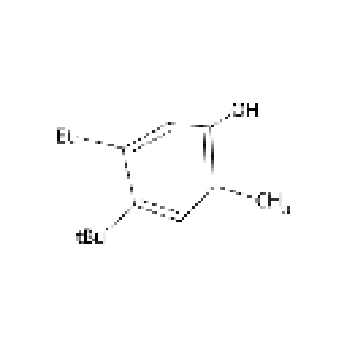 CCc1cc(O)c(C)cc1C(C)(C)C